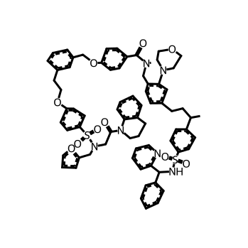 CC(CCc1ccc(CN(C)C(=O)c2ccc(OCc3cccc(CCOc4ccc(S(=O)(=O)N(CC(=O)N5CCCc6ccccc65)Cc5ccco5)cc4)c3)cc2)c(N2CCOCC2)c1)c1ccc(S(=O)(=O)NC(c2ccccc2)c2ccccn2)cc1